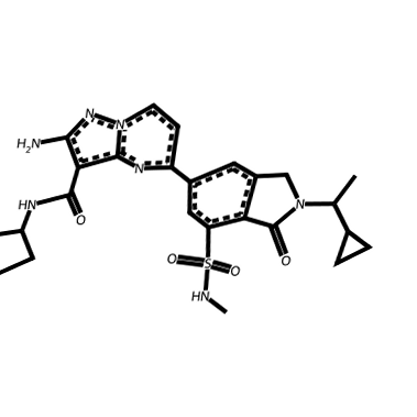 CNS(=O)(=O)c1cc(-c2ccn3nc(N)c(C(=O)NC4CCC4)c3n2)cc2c1C(=O)N(C(C)C1CC1)C2